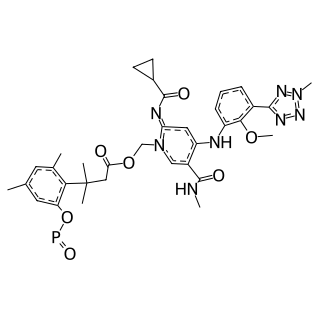 CNC(=O)c1cn(COC(=O)CC(C)(C)c2c(C)cc(C)cc2OP=O)/c(=N/C(=O)C2CC2)cc1Nc1cccc(-c2nnn(C)n2)c1OC